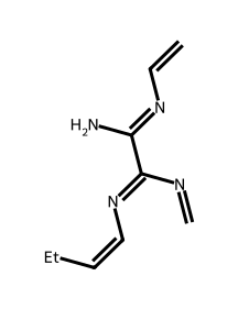 C=C/N=C(N)/C(N=C)=N/C=C\CC